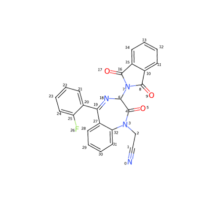 N#CCN1C(=O)C(N2C(=O)c3ccccc3C2=O)N=C(c2ccccc2F)c2ccccc21